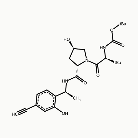 C#Cc1ccc([C@H](C)NC(=O)[C@@H]2C[C@@H](O)CN2C(=O)[C@@H](NC(=O)OC(C)(C)C)C(C)(C)C)c(O)c1